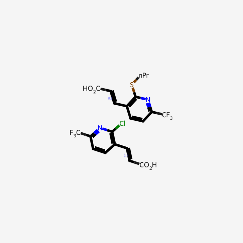 CCCSc1nc(C(F)(F)F)ccc1/C=C/C(=O)O.O=C(O)/C=C/c1ccc(C(F)(F)F)nc1Cl